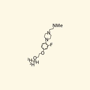 [2H]C([2H])([2H])OCCOc1ccc(N2CCN(CCNC)CC2)c(F)c1